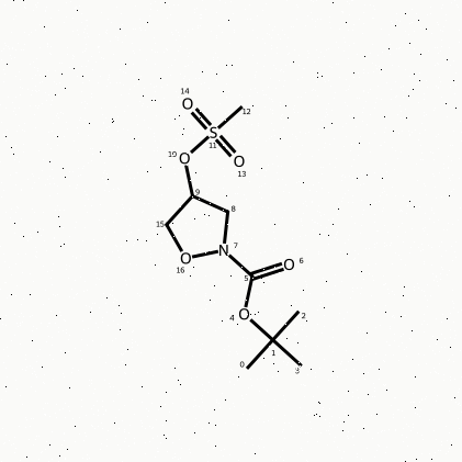 CC(C)(C)OC(=O)N1CC(OS(C)(=O)=O)CO1